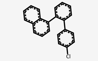 Clc1ccc(-c2ccccc2-c2cccc3ccccc23)cc1